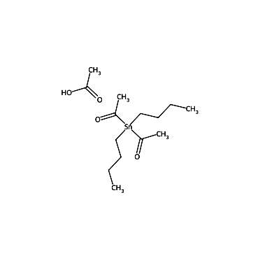 CC(=O)O.CCC[CH2][Sn]([CH2]CCC)([C](C)=O)[C](C)=O